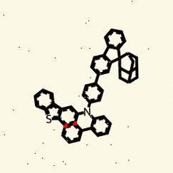 c1ccc(-c2ccccc2N(c2ccc(-c3ccc4c(c3)C3(c5ccccc5-4)C4CC5CC(C4)CC3C5)cc2)c2ccc3sc4ccccc4c3c2)cc1